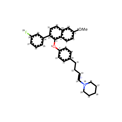 COc1ccc2c(Oc3ccc(CC/C=C/N4CCCCC4)cc3)c(-c3cccc(F)c3)ccc2c1